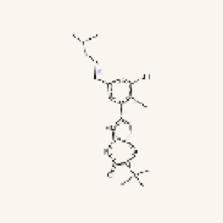 CC(C)C/C=C/c1cc(Cl)c(F)c(-c2cc3cn(C(C)(C)C)c(=O)nc3[nH]2)c1